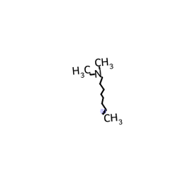 C/C=C/CCCCCCN(CC)CC